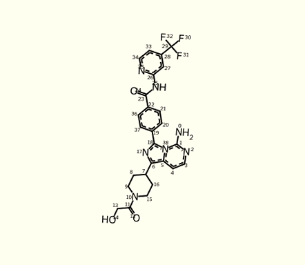 Nc1nccc2c(C3CCN(C(=O)CO)CC3)nc(-c3ccc(C(=O)Nc4cc(C(F)(F)F)ccn4)cc3)n12